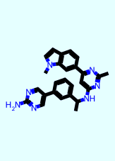 Cc1nc(NC(C)c2cccc(-c3cnc(N)nc3)c2)cc(-c2ccc3ccn(C)c3c2)n1